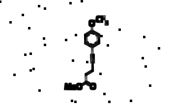 COC(=O)CCC#Cc1ccc(OC(F)(F)F)cc1